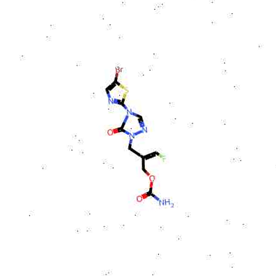 NC(=O)OCC(=CF)Cn1ncn(-c2ncc(Br)s2)c1=O